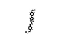 COc1ccc(CNc2nn3cc(-c4ccc(CO)cc4)nc3s2)cc1